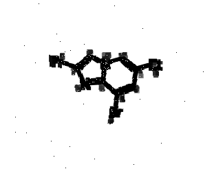 CCc1cc(Br)c2nc(C(C)C)cn2c1